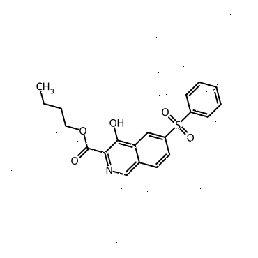 CCCCOC(=O)c1ncc2ccc(S(=O)(=O)c3ccccc3)cc2c1O